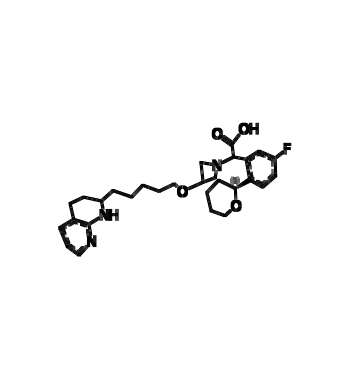 O=C(O)C(c1cc(F)ccc1[C@@H]1CCCCO1)N1CC(OCCCCCC2CCc3cccnc3N2)C1